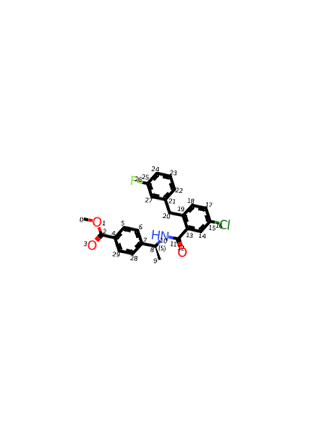 COC(=O)c1ccc([C@H](C)NC(=O)c2cc(Cl)ccc2Cc2cccc(F)c2)cc1